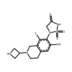 O=C1CN(c2c(O)cc3c(c2F)CN(C2CNC2)CC3)S(=O)(=O)N1